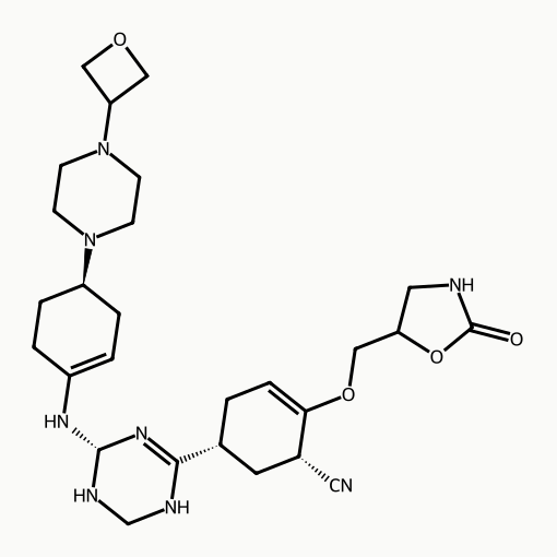 N#C[C@@H]1C[C@H](C2=N[C@@H](NC3=CC[C@H](N4CCN(C5COC5)CC4)CC3)NCN2)CC=C1OCC1CNC(=O)O1